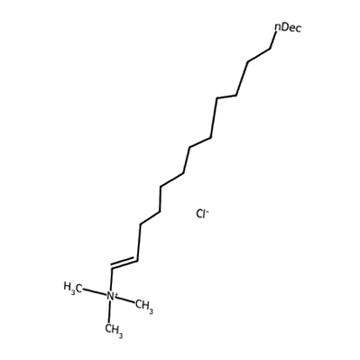 CCCCCCCCCCCCCCCCCCCC/C=C/[N+](C)(C)C.[Cl-]